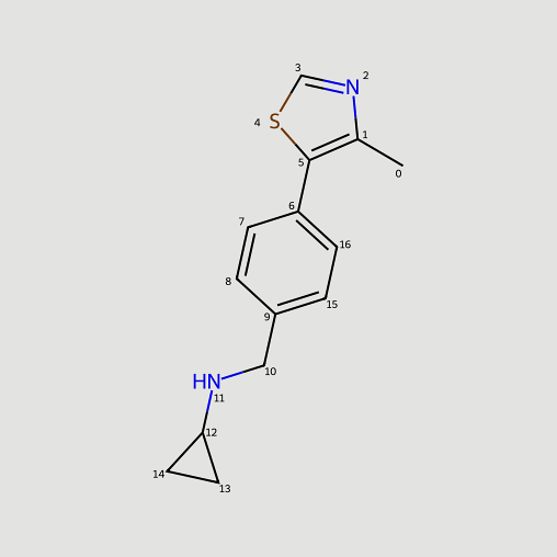 Cc1ncsc1-c1ccc(CNC2CC2)cc1